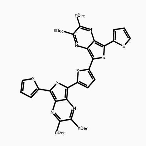 CCCCCCCCCCc1nc2c(-c3cccs3)sc(-c3ccc(-c4sc(-c5cccs5)c5nc(CCCCCCCCCC)c(CCCCCCCCCC)nc45)s3)c2nc1CCCCCCCCCC